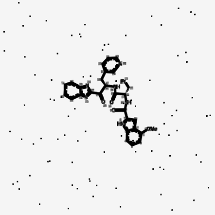 COc1cccc2[nH]c(C(=O)N[C@@H](CC(C)C)C(=O)N[C@H](Cc3cccnc3)C(=O)c3nc4ccccc4s3)cc12